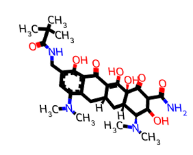 CN(C)c1cc(CNC(=O)C(C)(C)C)c(O)c2c1C[C@H]1C[C@H]3[C@H](N(C)C)C(O)C(C(N)=O)C(=O)[C@@]3(O)C(O)=C1C2=O